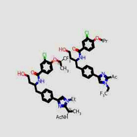 CC(=O)c1nc(-c2ccc(CC(CCO)NC(=O)c3ccc(OC(C)C)c(Cl)c3)cc2)cn1CC(F)(F)F.CCn1cc(-c2ccc(CC(CCO)NC(=O)c3ccc(O[C@@H](C)C(F)(F)F)c(Cl)c3)cc2)nc1[C@H](C)NC(C)=O